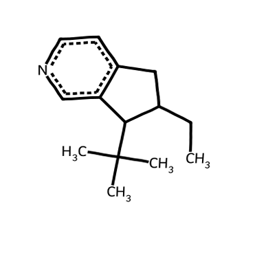 CCC1Cc2ccncc2C1C(C)(C)C